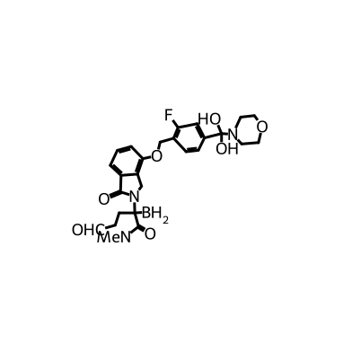 BC(CCC=O)(C(=O)NC)N1Cc2c(OCc3ccc(C(O)(O)N4CCOCC4)cc3F)cccc2C1=O